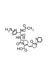 CC(=O)O/N=C(\C(=O)N[C@@H]1C(=O)N2C(C(=O)O)=C(/C=C3/CCN(c4ccccn4)C3=O)CC[C@H]12)c1csc(N)n1